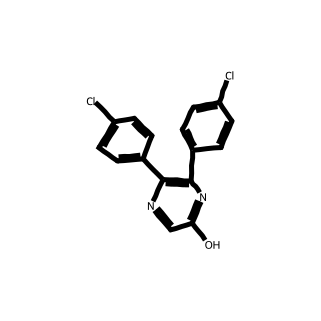 Oc1cnc(-c2ccc(Cl)cc2)c(-c2ccc(Cl)cc2)n1